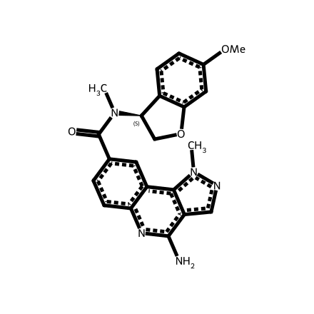 COc1ccc2c(c1)OC[C@H]2N(C)C(=O)c1ccc2nc(N)c3cnn(C)c3c2c1